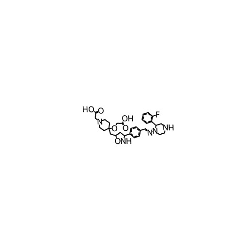 O=C(O)COC1(CC2CC(c3ccc(C=NN4CCNCC4c4ccccc4F)cc3)NO2)CCN(CC(=O)O)CC1